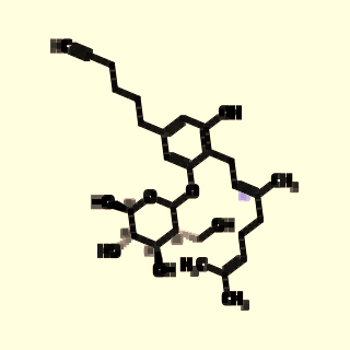 C#CCCCCc1cc(O)c(C/C=C(\C)CCC=C(C)C)c(OC2O[C@H](O)[C@@H](O)[C@H](O)[C@H]2CO)c1